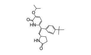 CC(C)Oc1ccc(C(=C[C@H]2CCC(=O)N2)c2ccc(C(C)(C)C)cc2)[nH]c1=O